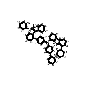 c1ccc(-c2ccc(N(c3ccc(-c4cccc5c4c4c6ccccc6oc4n5-c4ccccc4)cc3)c3cccc4c3oc3c(C5CCCCC5)cccc34)cc2)cc1